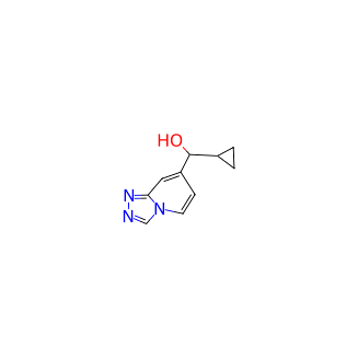 OC(c1ccn2cnnc2c1)C1CC1